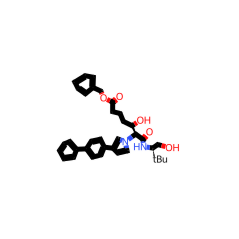 CC(C)(C)[C@@H](CO)NC(=O)[C@H](C(O)CCCC(=O)OCc1ccccc1)n1ccc(-c2ccc(-c3ccccc3)cc2)c1